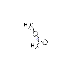 C=C(/C=C/c1ccc(OCC)cc1)N1CCCCC1